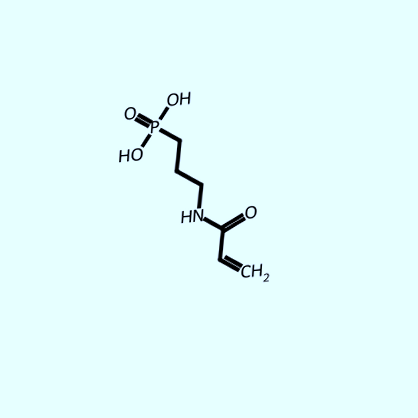 C=CC(=O)NCCCP(=O)(O)O